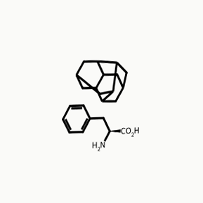 C1C2CC3C4CC5CC(C14)C(C2)C3C5.N[C@@H](Cc1ccccc1)C(=O)O